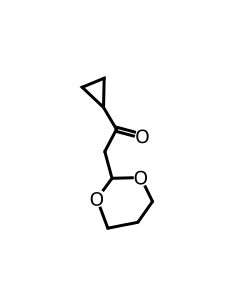 O=C(CC1OCCCO1)C1CC1